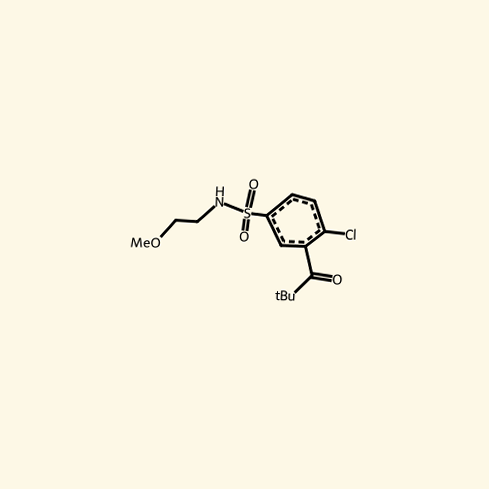 COCCNS(=O)(=O)c1ccc(Cl)c(C(=O)C(C)(C)C)c1